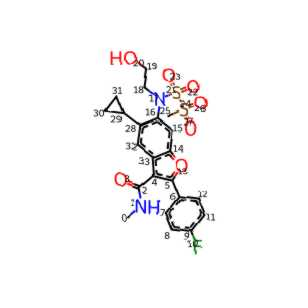 CNC(=O)c1c(-c2ccc(F)cc2)oc2cc(N(CCO)S(=O)(=O)S(C)(=O)=O)c(C3CC3)cc12